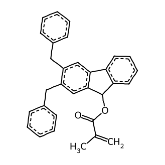 C=C(C)C(=O)OC1c2ccccc2-c2cc(Cc3ccccc3)c(Cc3ccccc3)cc21